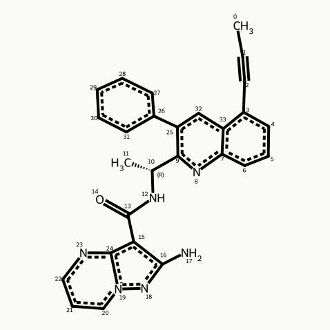 CC#Cc1cccc2nc([C@@H](C)NC(=O)c3c(N)nn4cccnc34)c(-c3ccccc3)cc12